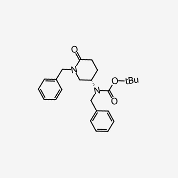 CC(C)(C)OC(=O)N(Cc1ccccc1)[C@H]1CCC(=O)N(Cc2ccccc2)C1